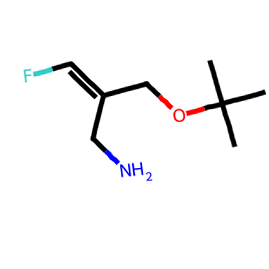 CC(C)(C)OC/C(=C/F)CN